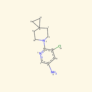 Nc1cnc(N2CCC3(CC2)CC3)c(Cl)c1